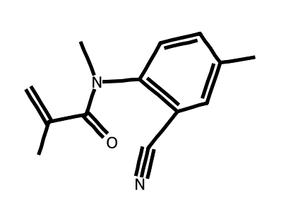 C=C(C)C(=O)N(C)c1ccc(C)cc1C#N